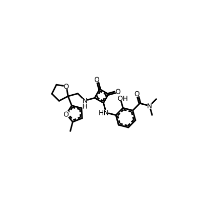 Cc1ccc(C2(CNc3c(Nc4cccc(C(=O)N(C)C)c4O)c(=O)c3=O)CCCO2)o1